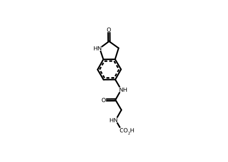 O=C(O)NCC(=O)Nc1ccc2c(c1)CC(=O)N2